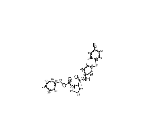 O=C(Nc1ncc(Cc2ccc(F)cc2)s1)C1CCCN1C(=O)OCc1ccccc1